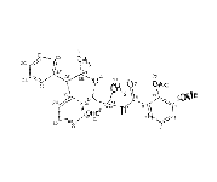 COc1ccnc(C(=O)N[C@@](C)(C=O)CO[C@@H](C)C(c2ccccc2)c2ccccc2)c1OC(C)=O